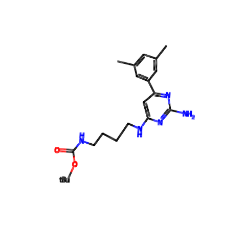 Cc1cc(C)cc(-c2cc(NCCCCNC(=O)OC(C)(C)C)nc(N)n2)c1